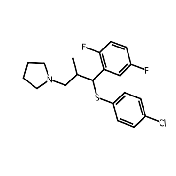 CC(CN1CCCC1)C(Sc1ccc(Cl)cc1)c1cc(F)ccc1F